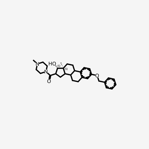 CN1CCN(C(=O)C2CC3C4CCc5cc(OCc6ccccc6)ccc5C4CC[C@]3(C)[C@H]2O)CC1